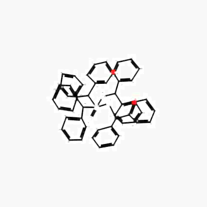 [O]=[Ti]([O]C(c1ccccc1)c1ccccc1)([O]C(c1ccccc1)c1ccccc1)([CH](c1ccccc1)c1ccccc1)[CH](c1ccccc1)c1ccccc1